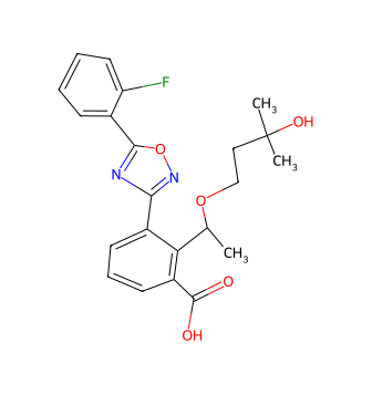 CC(OCCC(C)(C)O)c1c(C(=O)O)cccc1-c1noc(-c2ccccc2F)n1